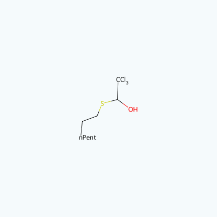 CCCCCCCSC(O)C(Cl)(Cl)Cl